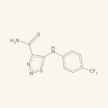 NC(=O)c1nnsc1Nc1ccc(C(F)(F)F)cc1